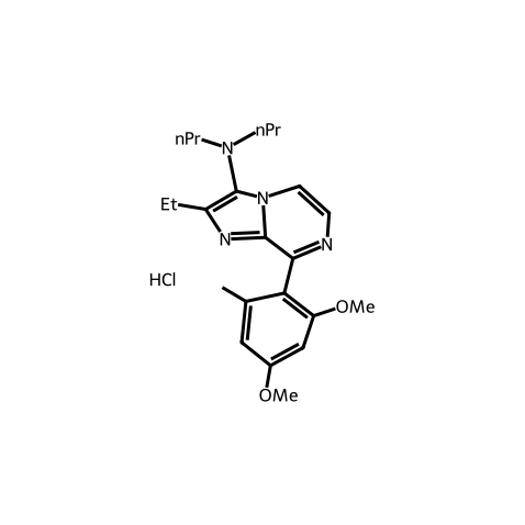 CCCN(CCC)c1c(CC)nc2c(-c3c(C)cc(OC)cc3OC)nccn12.Cl